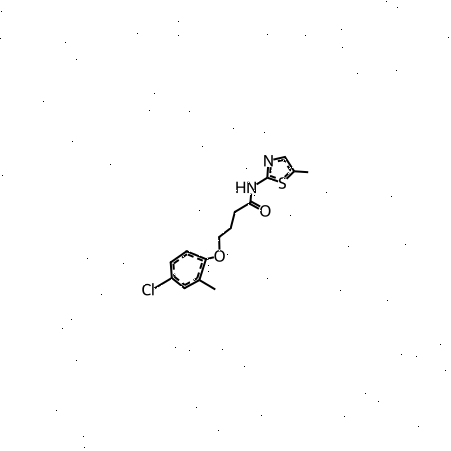 Cc1cnc(NC(=O)CCCOc2ccc(Cl)cc2C)s1